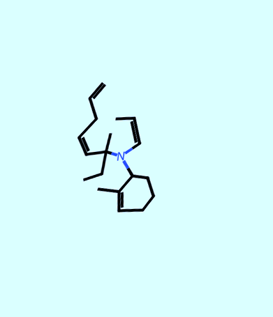 C=CC/C=C\C(C)(CC)N(/C=C\C)C1CCCC=C1C